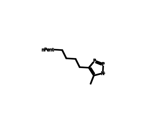 CCCCCCCCCC1=C(C)[N]P=P1